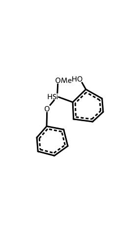 CO[SiH](Oc1ccccc1)c1ccccc1O